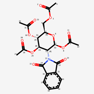 CC(=O)OC[C@H]1O[C@@H](OC(C)=O)[C@H](N2C(=O)c3ccccc3C2=O)[C@@H](OC(C)=O)[C@@H]1OC(C)=O